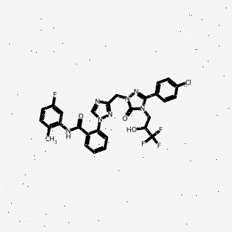 Cc1ccc(F)cc1NC(=O)c1ccccc1-n1cnc(Cn2nc(-c3ccc(Cl)cc3)n(CC(O)C(F)(F)F)c2=O)n1